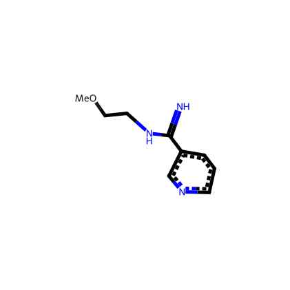 COCCNC(=N)c1cccnc1